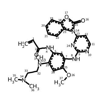 C=CC(=O)Nc1cc(Nc2nccc(-n3c(=O)oc4ccccc43)n2)c(OC)cc1N(C)CCN(C)C